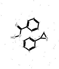 O=C(OO)c1ccccc1.c1ccc(C2CO2)cc1